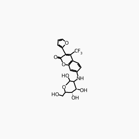 O=c1oc2cc(NC3C(O)OC(CO)[C@@H](O)[C@@H]3O)ccc2c(C(F)(F)F)c1-c1ccco1